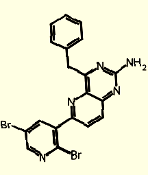 Nc1nc(Cc2ccccc2)c2nc(-c3cc(Br)cnc3Br)ccc2n1